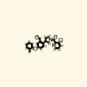 Cc1ccccc1Oc1ccc(C2CCN(C(=O)c3ncccc3Cl)C2)c(C=O)c1